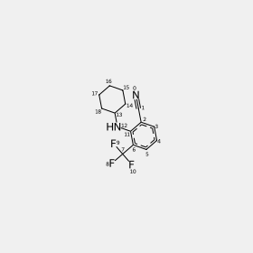 N#Cc1cccc(C(F)(F)F)c1NC1CCCCC1